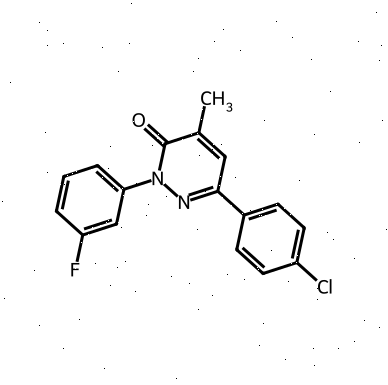 Cc1cc(-c2ccc(Cl)cc2)nn(-c2cccc(F)c2)c1=O